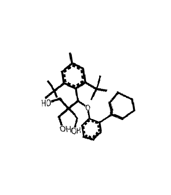 Cc1cc(C(C)(C)C)c(C(Oc2ccccc2C2CCCCC2)C(CO)(CO)CO)c(C(C)(C)C)c1